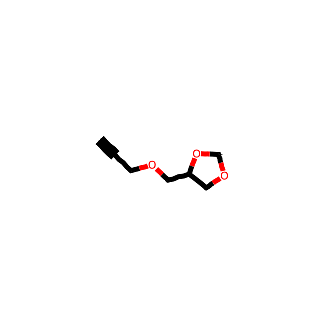 C#CCOCC1CO[CH]O1